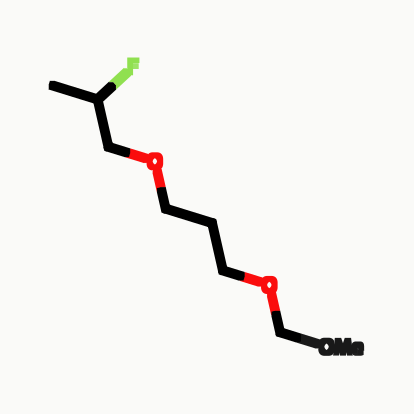 COCOCCCOCC(C)F